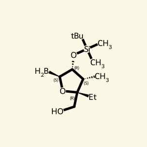 B[C@@H]1O[C@@](CC)(CO)[C@@H](C)[C@H]1O[Si](C)(C)C(C)(C)C